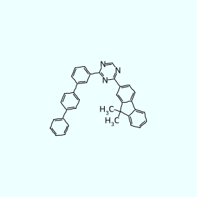 CC1(C)c2ccccc2-c2ccc(-c3ncnc(-c4cccc(-c5ccc(-c6ccccc6)cc5)c4)n3)cc21